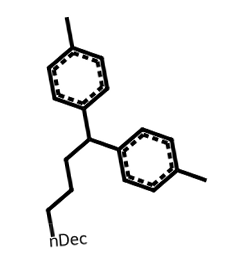 CCCCCCCCCCCCCC(c1ccc(C)cc1)c1ccc(C)cc1